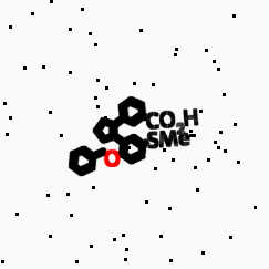 CSc1ccc(OCc2ccccc2)c(C2=C(c3cccc(C(=O)O)c3)CCC2)c1